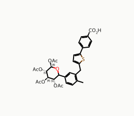 CC(=O)O[C@H]1OC(c2ccc(C)c(Cc3ccc(-c4ccc(C(=O)O)cc4)s3)c2)[C@H](OC(C)=O)[C@@H](OC(C)=O)[C@@H]1OC(C)=O